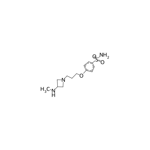 CNC1CN(CCCOc2ccc(S(N)(=O)=O)cc2)C1